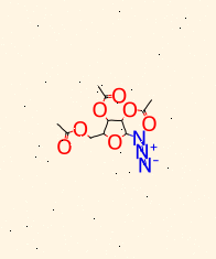 CC(=O)OCC1OC(N=[N+]=[N-])C(OC(C)=O)C1OC(C)=O